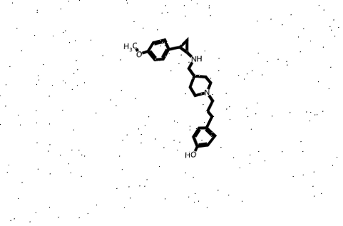 COc1ccc(C2CC2NCC2CCN(CCCc3ccc(O)cc3)CC2)cc1